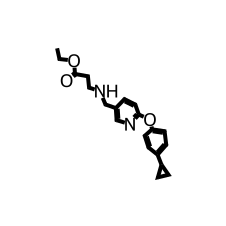 CCOC(=O)CCNCc1ccc(Oc2ccc(C3CC3)cc2)nc1